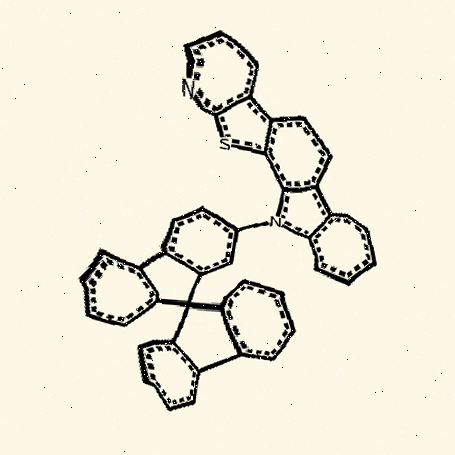 c1ccc2c(c1)-c1ccccc1C21c2ccccc2-c2ccc(-n3c4ccccc4c4ccc5c6cccnc6sc5c43)cc21